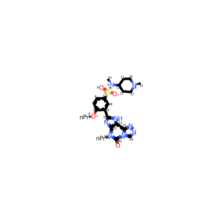 CCCOc1ccc(S(=O)(=O)N(C)C2CCN(C)CC2)cc1-c1nc2c([nH]1)c1nncn1c(=O)n2CCC